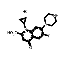 Cl.O=C(O)c1cc(=O)c2cc(F)c(N3CCNCC3)cc2n1C1CC1